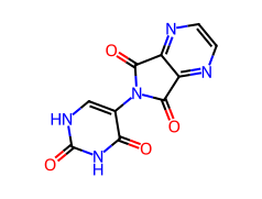 O=C1c2nccnc2C(=O)N1c1c[nH]c(=O)[nH]c1=O